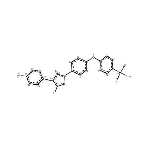 Cc1nc(-c2ccc(Oc3ccc(C(F)(F)F)cc3)cc2)[nH]c1-c1ccc(Cl)cc1